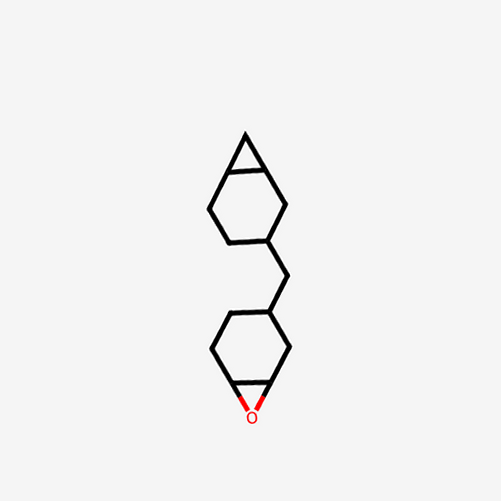 C1CC2CC2CC1CC1CCC2OC2C1